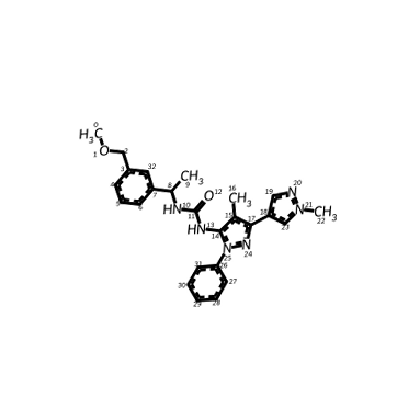 COCc1cccc(C(C)NC(=O)Nc2c(C)c(-c3cnn(C)c3)nn2-c2ccccc2)c1